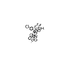 CCOC(=O)c1nc(Cn2nc(-c3ccc(Cl)cc3)n(C(F)[C@H](O)C(F)F)c2=O)nn1-c1ccccc1Cl